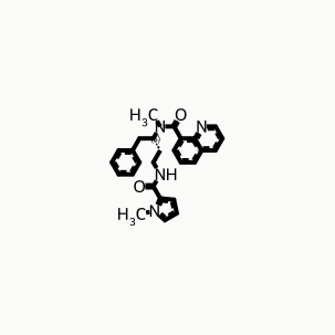 CN(C(=O)c1cccc2cccnc12)[C@H](CCNC(=O)c1cccn1C)Cc1ccccc1